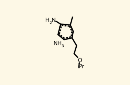 Cc1cc(CCOC(C)C)ccc1N.N